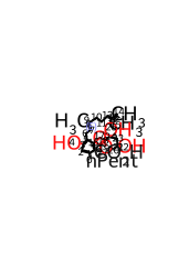 CCCCCc1cc(O)c(C/C=C(\C)CCC=C(C)C)c(OC2OCC(O)CC2O)c1C(=O)O